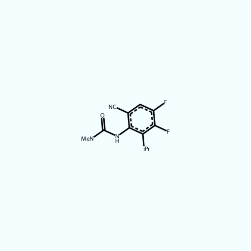 CNC(=O)Nc1c(C#N)cc(F)c(F)c1C(C)C